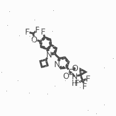 O=S(=O)(NC1(C(F)(F)F)CC1)c1ccc(-c2cc3cc(F)c(OC(F)F)cc3n2C2CCC2)nc1